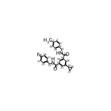 Cc1ccc(CNC(=O)c2cc(C(=O)NCc3ccc(F)cc3)cc(C3CC3)c2)cc1